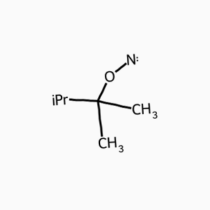 CC(C)C(C)(C)O[N]